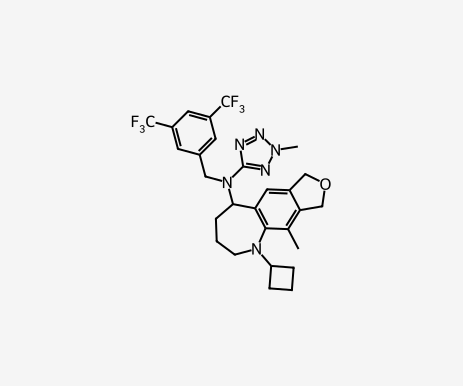 Cc1c2c(cc3c1N(C1CCC1)CCCC3N(Cc1cc(C(F)(F)F)cc(C(F)(F)F)c1)c1nnn(C)n1)COC2